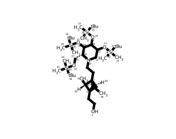 C[C@H]1C2(CCO)CC1(CCN1CC(O[Si](C)(C)C(C)(C)C)C(O[Si](C)(C)C(C)(C)C)C(O[Si](C)(C)C(C)(C)C)[C@H]1CO[Si](C)(C)C(C)(C)C)[C@H]2C